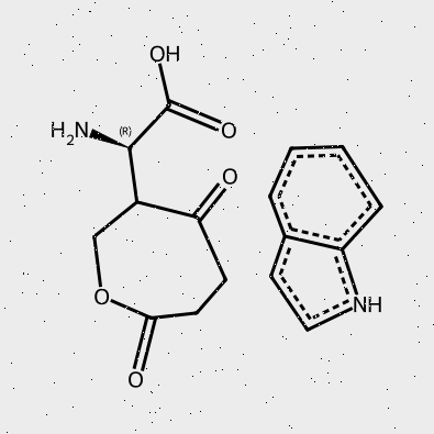 N[C@@H](C(=O)O)C1COC(=O)CCC1=O.c1ccc2[nH]ccc2c1